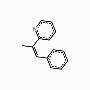 CC(=Cc1ccccc1)c1ccccn1